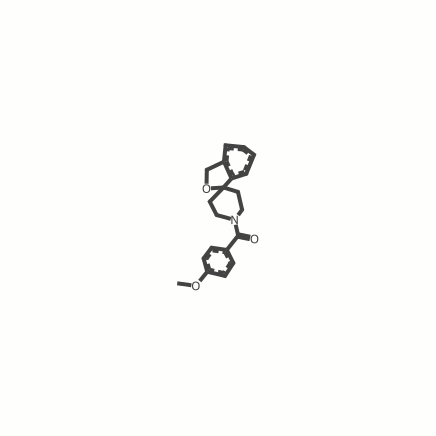 COc1ccc(C(=O)N2CCC3(CC2)OCc2ccccc23)cc1